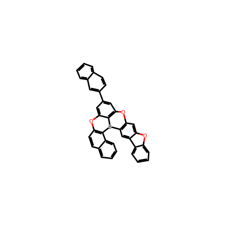 c1ccc2cc(-c3cc4c5c(c3)Oc3ccc6ccccc6c3B5c3cc5c(cc3O4)oc3ccccc35)ccc2c1